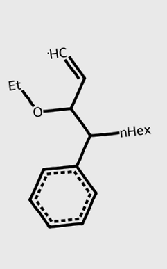 [CH]=CC(OCC)C(CCCCCC)c1ccccc1